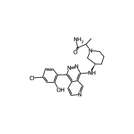 CC(C(N)=O)N1CCC[C@@H](Nc2nnc(-c3ccc(Cl)cc3O)c3ccncc23)C1